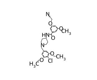 CCOc1cc(CN2CCC(NC(=O)c3cc(OC)cc(OCC#N)c3)CC2)cc(OCC)c1Cl